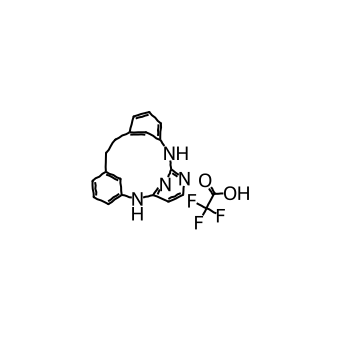 O=C(O)C(F)(F)F.c1cc2cc(c1)Nc1ccnc(n1)Nc1cccc(c1)CC2